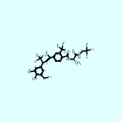 C[C@@H](NC(=O)c1ccc(/C(F)=C/C(c2cc(Cl)c(Cl)c(CF)c2)C(F)(F)F)cc1C(F)(F)F)C(=O)NCC(F)(F)F